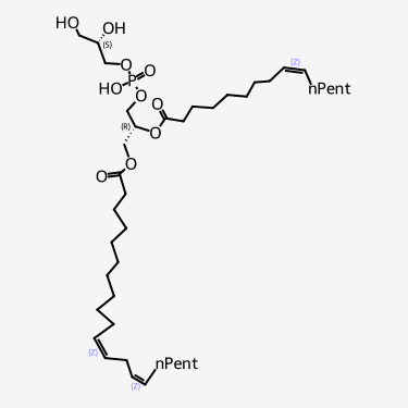 CCCCC/C=C\C/C=C\CCCCCCCCCC(=O)OC[C@H](COP(=O)(O)OC[C@@H](O)CO)OC(=O)CCCCCCC/C=C\CCCCC